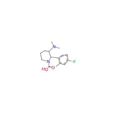 Cc1cc(F)ccc1C1C(N(C)C)CCCN1C(=O)O